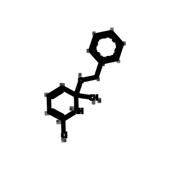 CC1(OCc2ccccc2)C=CC=C(Cl)N1